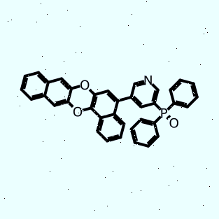 O=P(c1ccccc1)(c1ccccc1)c1cncc(-c2cc3c(c4ccccc24)Oc2cc4ccccc4cc2O3)c1